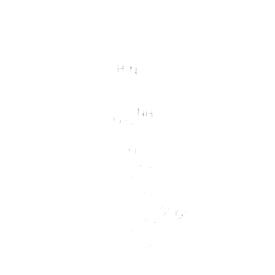 NCCNC(=O)COc1ccc2c(c1)Cc1ccccc1[S+]2[O-]